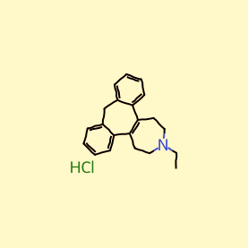 CCN1CCC2=C(CC1)c1ccccc1Cc1ccccc12.Cl